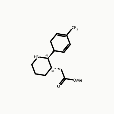 COC(=O)C[C@@H]1CCCN[C@H]1C1C=CC(C(F)(F)F)=CC1